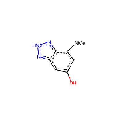 CNc1cc(O)cc2n[nH]nc12